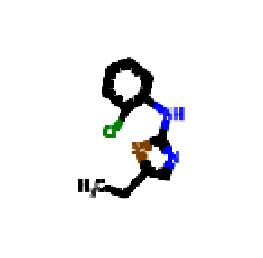 CCc1cnc(Nc2ccccc2Cl)s1